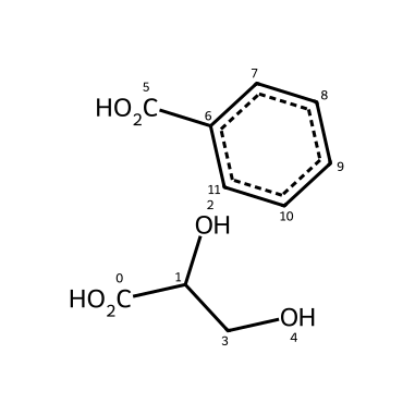 O=C(O)C(O)CO.O=C(O)c1ccccc1